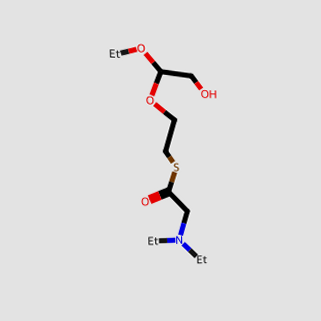 CCOC(CO)OCCSC(=O)CN(CC)CC